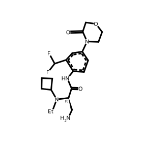 CCN(C1CCC1)[C@H](CN)C(=O)Nc1ccc(N2CCOCC2=O)cc1C(F)F